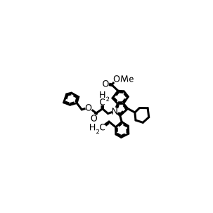 C=Cc1ccccc1-c1c(C2CCCCC2)c2ccc(C(=O)OC)cc2n1CC(=C)C(=O)OCc1ccccc1